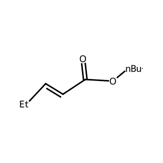 CC/C=C/C(=O)O[CH]CCC